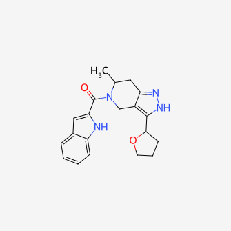 CC1Cc2n[nH]c(C3CCCO3)c2CN1C(=O)c1cc2ccccc2[nH]1